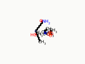 CCCC(C)[N+](C)(C)CC.CCCCCCC(O)C/C=C\CCCCCCCC(N)=O.CCOS(=O)(=O)[O-]